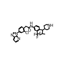 CC(C)C(c1ccc(NC(=O)Cc2ccc(-n3cnc4cccnc43)cc2Cl)cc1C(F)(F)F)C1CCNCC1